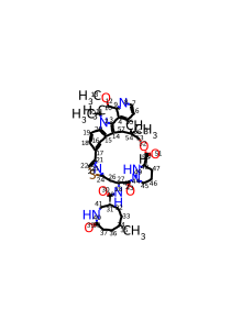 CCn1c(-c2cccnc2[C@H](C)OC)c2c3cc(ccc31)-c1csc(n1)C[C@H](NC(=O)[C@H]1CC[C@@H](C)CCC(=O)NC1)C(=O)N1CCC[C@H](N1)C(=O)OCC(C)(C)C2